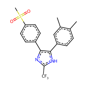 Cc1ccc(-c2[nH]c(C(F)(F)F)nc2-c2ccc(S(C)(=O)=O)cc2)cc1C